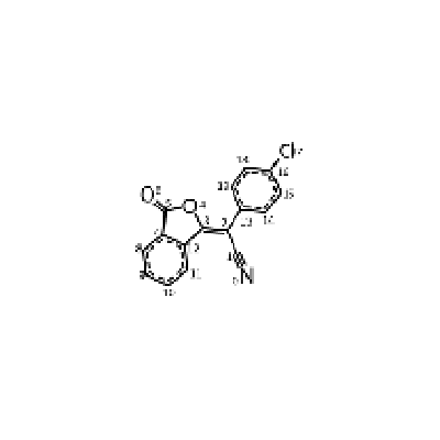 N#CC(=C1OC(=O)c2ccccc21)c1ccc(Cl)cc1